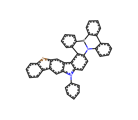 c1ccc(-n2c3cc4c(cc3c3c5c(ccc32)N2B(c3ccccc3-c3ccccc32)c2ccccc2-5)sc2ccccc24)cc1